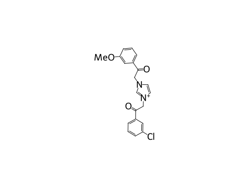 COc1cccc(C(=O)Cn2cc[n+](CC(=O)c3cccc(Cl)c3)c2)c1